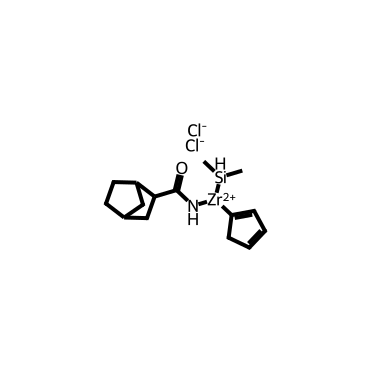 C[SiH](C)[Zr+2]([NH]C(=O)C1CC2CCC1C2)[C]1=CC=CC1.[Cl-].[Cl-]